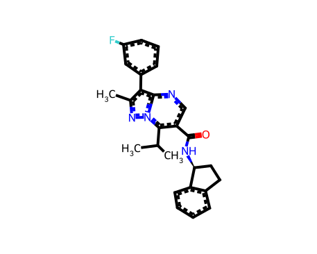 Cc1nn2c(C(C)C)c(C(=O)N[C@H]3CCc4ccccc43)cnc2c1-c1cccc(F)c1